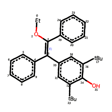 CCO/C(=C(\c1ccccc1)c1cc(C(C)(C)C)c(O)c(C(C)(C)C)c1)c1ccccc1